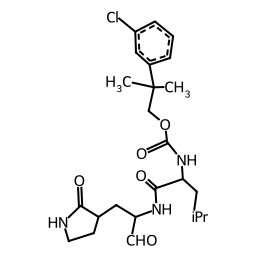 CC(C)CC(NC(=O)OCC(C)(C)c1cccc(Cl)c1)C(=O)NC(C=O)CC1CCNC1=O